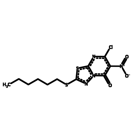 CCCCCCSc1nn2c(=O)c([N+](=O)[O-])c(Cl)nc2s1